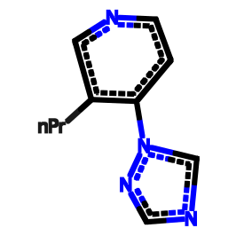 CCCc1cnccc1-n1cncn1